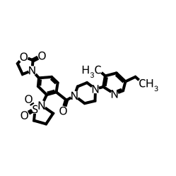 CCc1cnc(N2CCN(C(=O)c3ccc(N4CCOC4=O)cc3N3CCCS3(=O)=O)CC2)c(C)c1